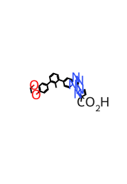 Cc1c(-c2ccc3c(c2)OCCO3)cccc1-c1ccn2c(-n3ccc(C(=O)O)n3)nnc2c1